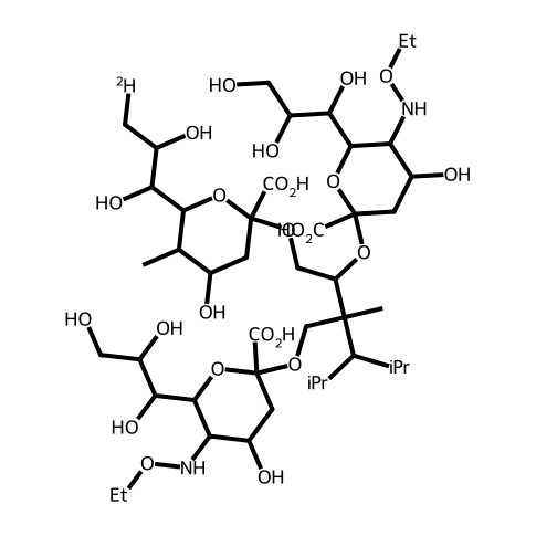 [2H]CC(O)C(O)C1OC(OCC(OC2(C(=O)O)CC(O)C(NOCC)C(C(O)C(O)CO)O2)C(C)(COC2(C(=O)O)CC(O)C(NOCC)C(C(O)C(O)CO)O2)C(C(C)C)C(C)C)(C(=O)O)CC(O)C1C